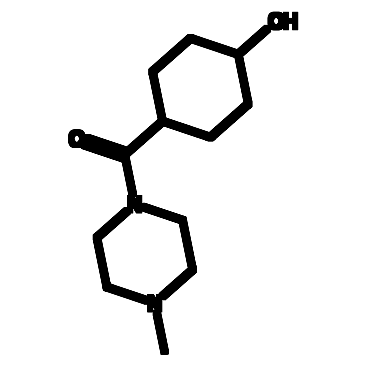 CN1CCN(C(=O)C2CCC(O)CC2)CC1